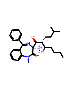 CCCCC(O)[C@@H](CCC(C)C)C(=O)[C@]1(N)N=C(c2ccccc2)c2ccccc2N(C)C1=O